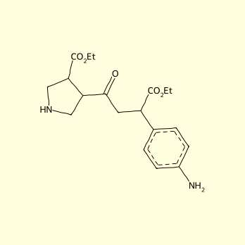 CCOC(=O)C(CC(=O)C1CNCC1C(=O)OCC)c1ccc(N)cc1